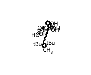 Cc1cc(C(C)(C)C)c(CCCCCCCCC(O)(c2ccccc2)C(CO)(CO)CO)c(C(C)(C)C)c1.OP(O)OP(O)O